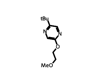 COCCOc1cnc(C(C)(C)C)cn1